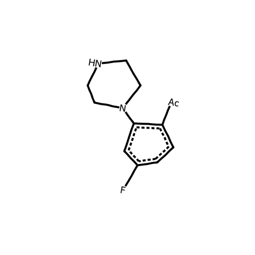 CC(=O)c1ccc(F)cc1N1CCNCC1